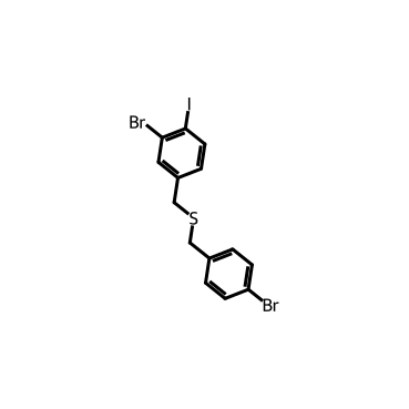 Brc1ccc(CSCc2ccc(I)c(Br)c2)cc1